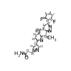 CC(C)c1cc(-c2c(F)cccc2F)nnc1C(C)c1cccc(-c2cnn(CCC(N)=O)c2)n1